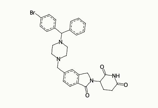 O=C1CCC(N2Cc3cc(CN4CCN(C(c5ccccc5)c5ccc(Br)cc5)CC4)ccc3C2=O)C(=O)N1